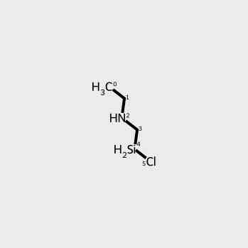 CCNC[SiH2]Cl